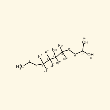 CCCC(F)(F)C(F)(F)C(F)(F)C(F)(F)CCC(O)O